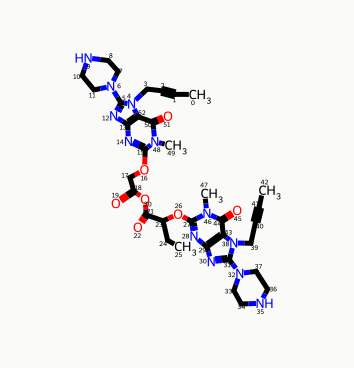 CC#CCn1c(N2CCNCC2)nc2nc(OCC(=O)OC(=O)C(CC)Oc3nc4nc(N5CCNCC5)n(CC#CC)c4c(=O)n3C)n(C)c(=O)c21